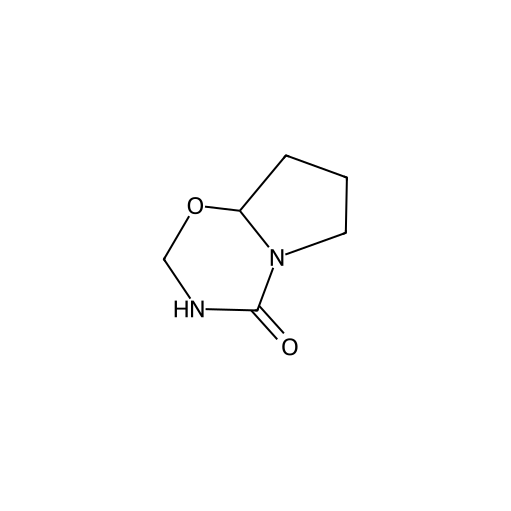 O=C1NCOC2CCCN12